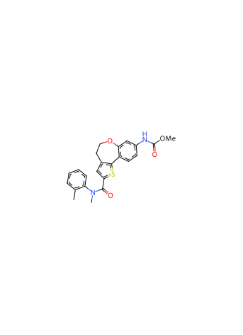 COC(=O)Nc1ccc2c(c1)OCCc1cc(C(=O)N(C)c3ccccc3C)sc1-2